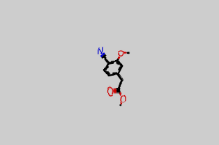 COC(=O)Cc1ccc(C#N)c(OC)c1